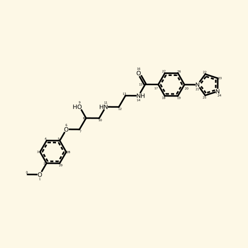 COc1ccc(OCC(O)CNCCNC(=O)c2ccc(-n3ccnc3)cc2)cc1